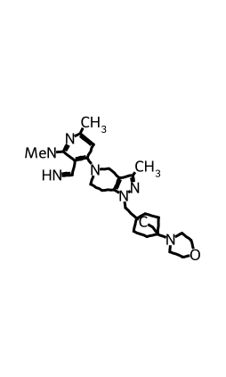 CNc1nc(C)cc(N2CCc3c(c(C)nn3CC34CCC(N5CCOCC5)(CC3)CC4)C2)c1C=N